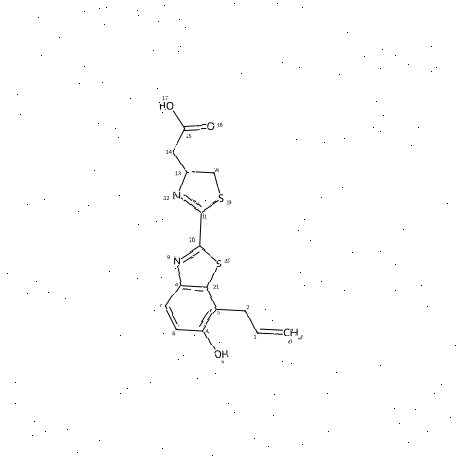 C=CCc1c(O)ccc2nc(C3=NC(CC(=O)O)CS3)sc12